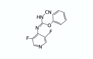 N#CNC(=Nc1c(F)cncc1F)Oc1ccccc1